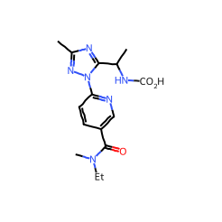 CCN(C)C(=O)c1ccc(-n2nc(C)nc2C(C)NC(=O)O)nc1